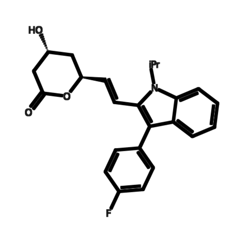 CC(C)n1c(C=C[C@@H]2C[C@@H](O)CC(=O)O2)c(-c2ccc(F)cc2)c2ccccc21